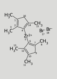 CC1=C(C)[C]([Zr+2][C]2=C(C)CC(C)=C2C)=C(C)C1.[Br-].[Br-]